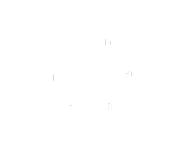 Fc1c(Cl)[c]c(Br)c(Br)c1Br